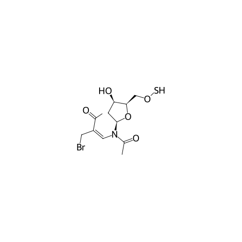 CC(=O)/C(=C\N(C(C)=O)[C@H]1C[C@@H](O)[C@@H](COS)O1)CBr